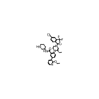 CCOc1ncccc1-c1ccc(N2CCN(C(=O)c3ccc(Cl)cc3C(F)(F)F)C[C@H]2CC)c(C(=O)N[C@H]2CCCNC2)c1